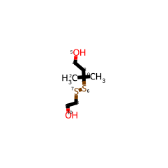 CC(C)(CCO)SSCCO